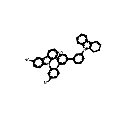 N#Cc1cc(-c2cccc(-n3c4c(c5ccccc53)C=CCC4)c2)cc(-c2ccc(C#N)cc2-n2c3ccccc3c3cc(C#N)ccc32)c1